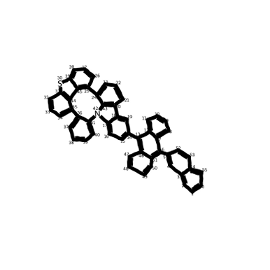 c1ccc2cc(-c3c4ccccc4c(-c4ccc5c(c4)c4cccc6c7cccc8sc9cccc(c%10ccccc%10n5c64)c9c87)c4ccccc34)ccc2c1